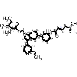 CC[C@H](C)[C@H](N)C(=O)OCn1cc(-c2ccnc(OC)c2)c2cc(-c3cccc(NC(=O)/C=C/CN(C)C)c3)cnc21